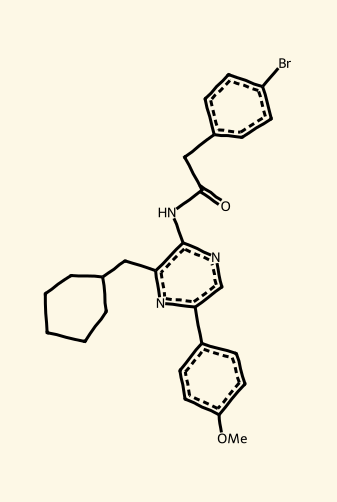 COc1ccc(-c2cnc(NC(=O)Cc3ccc(Br)cc3)c(CC3CCCCC3)n2)cc1